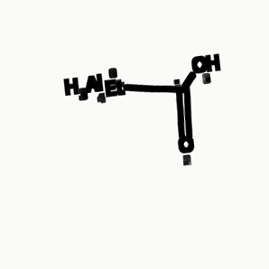 CCC(=O)O.[AlH3]